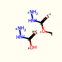 COC(=S)NN.NNC(O)=S